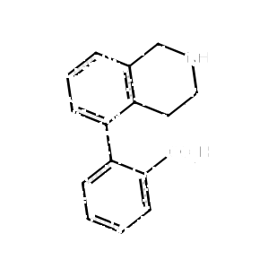 O=C(O)c1ccccc1-c1cccc2c1CCNC2